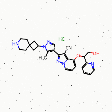 Cc1c(-c2nn3cccc(OC(CO)c4ccccn4)c3c2C#N)cnn1C1CC2(CCNCC2)C1.Cl